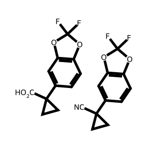 N#CC1(c2ccc3c(c2)OC(F)(F)O3)CC1.O=C(O)C1(c2ccc3c(c2)OC(F)(F)O3)CC1